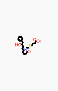 O=C(O)CCCSCCN1C(=O)CCCC1/C=C/[C@H](O)Cc1ccccc1